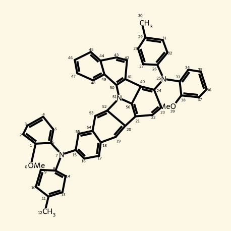 COc1ccccc1N(c1ccc(C)cc1)c1ccc2cc3c4ccc(N(c5ccc(C)cc5)c5ccccc5OC)c5c6ccc7ccccc7c6n(c3cc2c1)c45